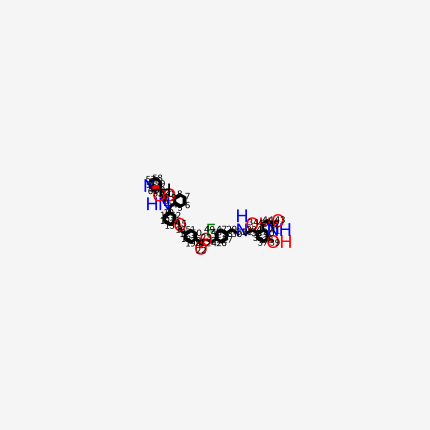 O=C(NC(c1ccccc1)c1cccc(OCc2ccc(C(=O)OCc3ccc(CCNC[C@H](O)c4ccc(O)c5[nH]c(=O)ccc45)cc3F)cc2)c1)O[C@H]1CN2CCC1CC2